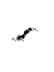 CC1CCN(c2nc3ccc(OCC(=CF)CNC(=O)OC(C)(C)C)cc3o2)C1